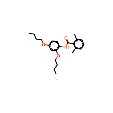 CCCCOc1ccc(PC(=O)c2c(C)cccc2C)c(OCCCC)c1.[Li]